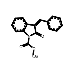 CC(C)(C)OC(=O)N1C(=O)C(=Cc2ccccc2)c2ccccc21